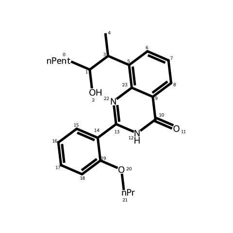 CCCCCC(O)C(C)c1cccc2c(=O)[nH]c(-c3ccccc3OCCC)nc12